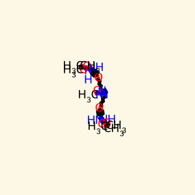 CC(=O)N=c1n(CCCCCOc2ccc(C(=N)NC(=O)OC(C)(C)C)cc2)ccn1CCCCCOc1ccc(C(=N)NC(=O)OC(C)(C)C)cc1